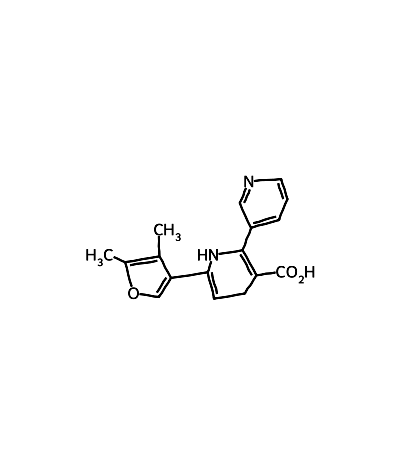 Cc1occ(C2=CCC(C(=O)O)=C(c3cccnc3)N2)c1C